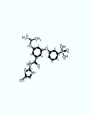 CC(C)Oc1cc(Oc2cccc(P(=O)(O)O)c2)cc(C(=O)Nc2ncc(Cl)s2)c1